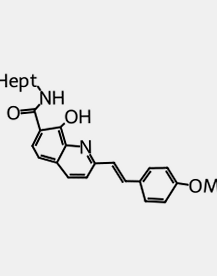 CCCCCCCNC(=O)c1ccc2ccc(/C=C/c3ccc(OC)cc3)nc2c1O